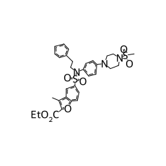 CCOC(=O)c1oc2ccc(S(=O)(=O)N(CCc3ccccc3)c3ccc(N4CCN(S(C)(=O)=O)CC4)cc3)cc2c1C